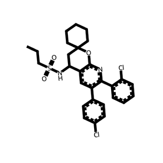 CCCS(=O)(=O)NC1CC2(CCCCC2)Oc2nc(-c3ccccc3Cl)c(-c3ccc(Cl)cc3)cc21